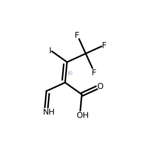 N=C/C(C(=O)O)=C(\I)C(F)(F)F